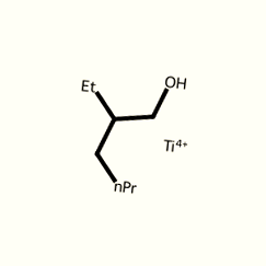 CCCCC(CC)CO.[Ti+4]